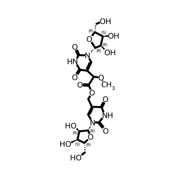 COC(C(=O)OCc1cn([C@@H]2O[C@H](CO)[C@@H](O)[C@H]2O)c(=O)[nH]c1=O)c1cn([C@@H]2O[C@H](CO)[C@@H](O)[C@H]2O)c(=O)[nH]c1=O